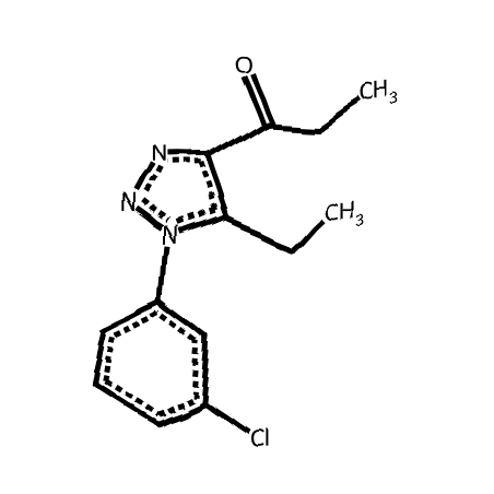 CCC(=O)c1nnn(-c2cccc(Cl)c2)c1CC